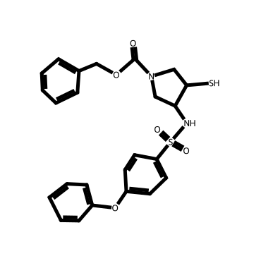 O=C(OCc1ccccc1)N1CC(S)C(NS(=O)(=O)c2ccc(Oc3ccccc3)cc2)C1